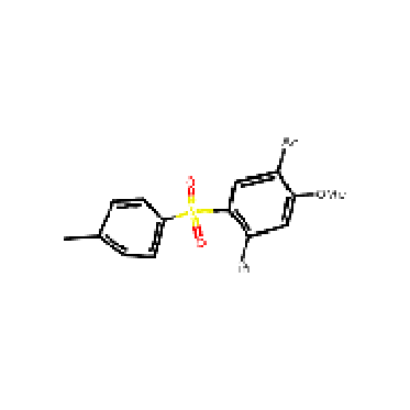 COc1cc(C(C)C)c(S(=O)(=O)c2ccc(C)cc2)cc1C(C)=O